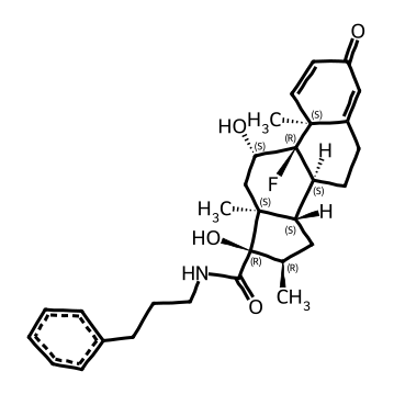 C[C@@H]1C[C@H]2[C@@H]3CCC4=CC(=O)C=C[C@]4(C)[C@@]3(F)[C@@H](O)C[C@]2(C)[C@@]1(O)C(=O)NCCCc1ccccc1